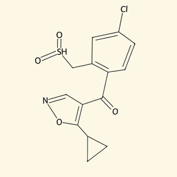 O=C(c1ccc(Cl)cc1C[SH](=O)=O)c1cnoc1C1CC1